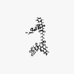 CC[C@@]1(O)C(=O)OCc2c1cc1n(c2=O)Cc2c-1nc1cc(F)c(C)c3c1c2[C@@H](NC(=O)CCCCCNC(=O)CNC(=O)C(Cc1ccccc1)NC(=O)CNC(=O)CN)CC3